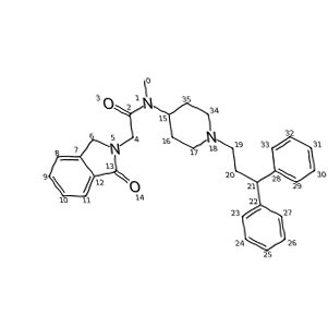 CN(C(=O)CN1Cc2ccccc2C1=O)C1CCN(CCC(c2ccccc2)c2ccccc2)CC1